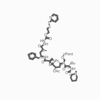 CCCCCOCN(C(=O)[C@@H](NC(=O)[C@H]1CCCCN1C)C(C)CC)[C@H](C[C@@H](OC(C)=O)c1nc(C(=O)N[C@@H](Cc2ccccc2)C[C@H](C)C(=O)NNC(=O)OCCSSc2ccccn2)cs1)C(C)C